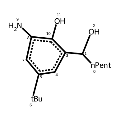 CCCCCC(O)c1cc(C(C)(C)C)cc(N)c1O